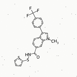 Cn1cc(-c2ccc(C(F)(F)F)cc2)c2ccc(C(=O)NSc3cccs3)cc21